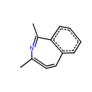 CC1=C=Cc2ccccc2C(C)=N1